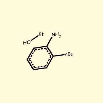 CCCCc1ccccc1N.CCO